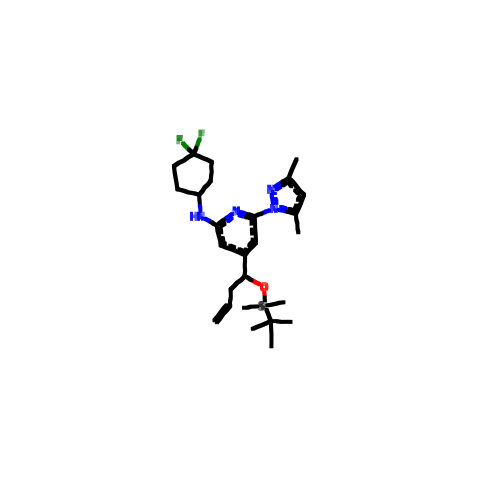 C=CCC(O[Si](C)(C)C(C)(C)C)c1cc(NC2CCC(F)(F)CC2)nc(-n2nc(C)cc2C)c1